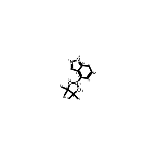 CC1(C)OB(C2=C3C=NN=C3CC=C2)OC1(C)C